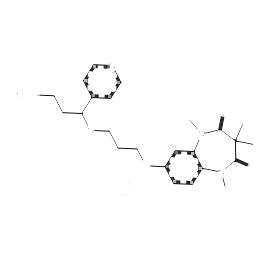 CCN1C(=O)C(C)(C)C(=O)N(C)c2cc(OCCCNC(CCNC)c3ccncc3)ccc21.Cl.Cl.Cl